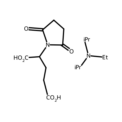 CCN(C(C)C)C(C)C.O=C(O)CCC(C(=O)O)N1C(=O)CCC1=O